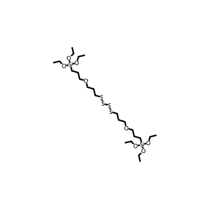 CCO[Si](CCCOCCCSSSSCCCOCCC[Si](OCC)(OCC)OCC)(OCC)OCC